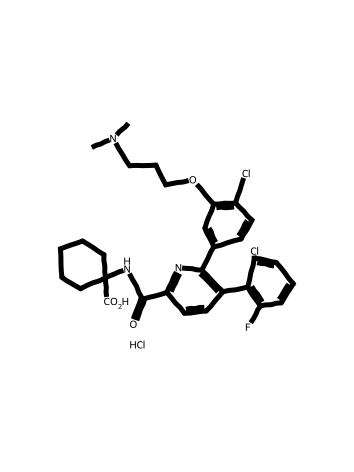 CN(C)CCCOc1cc(-c2nc(C(=O)NC3(C(=O)O)CCCCC3)ccc2-c2c(F)cccc2Cl)ccc1Cl.Cl